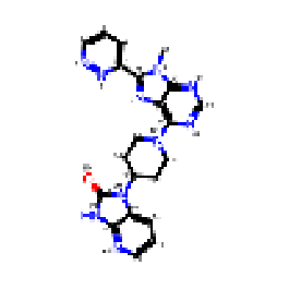 Cn1c(-c2cccnn2)nc2c(N3CCC(n4c(=O)[nH]c5ncccc54)CC3)ncnc21